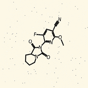 COc1nc(N2C(=O)C3CCCCN3C2=O)c(F)cc1C#N